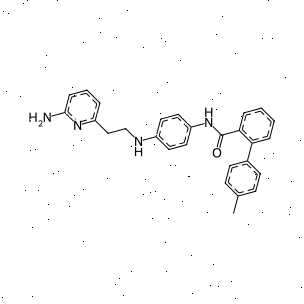 Cc1ccc(-c2ccccc2C(=O)Nc2ccc(NCCc3cccc(N)n3)cc2)cc1